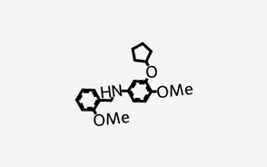 COc1ccccc1CNc1ccc(OC)c(OC2CCCC2)c1